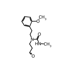 CNC(=O)N(CCC=O)CCc1ccccc1OC